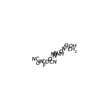 C=C(O)[C@H]1CN(c2ccc(Nc3ncnc(-c4ccc(O[C@H]5CCN(C(=O)CC#N)C[C@H]5F)c(C#N)c4)n3)cc2)CCO1